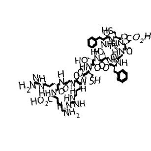 N=C(N)NCCC[C@H](NC(=O)CNC(=O)[C@H](CCCNC(=N)N)NC(=O)[C@H](CS)NC(=O)[C@H](CO)NC(=O)[C@H](CO)NC(=O)[C@H](Cc1ccccc1)NC(=O)CNC(=O)[C@H](CC(=O)O)NC(=O)[C@H](CS)NC(=O)[C@@H](N)Cc1ccccc1)C(=O)N[C@@H](CCCCN)C(=O)O